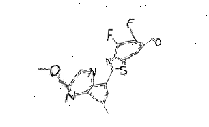 COCc1cnc2c(-c3nc4c(F)c(F)c(C=O)cc4s3)cc(C)cc2n1